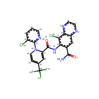 NC(=O)c1cc2nccnc2c(Cl)c1NC(=O)C1=CC(C(F)(F)F)=C=CN1c1ncccc1Cl